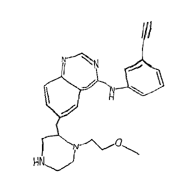 C#Cc1cccc(Nc2ncnc3ccc(C4CNCCN4CCOC)cc23)c1